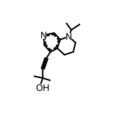 CC(C)N1CCCc2c(C#CC(C)(C)O)cncc21